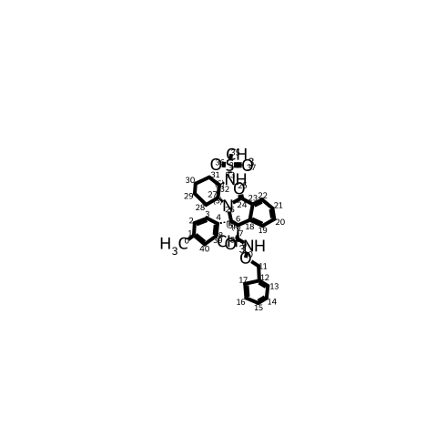 Cc1ccc([C@H]2[C@H](C(=O)NOCc3ccccc3)c3ccccc3C(=O)N2[C@H]2CCCC[C@@H]2NS(C)(=O)=O)c(C)c1